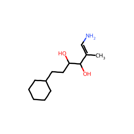 CC(=CN)C(O)C(O)CCC1CCCCC1